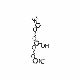 CCN(CC)c1cccc(OCCCOc2cc(CO)cc(OCCCOc3cccc(N(CC)CC)c3)c2)c1